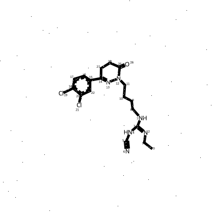 CC/N=C(\NC#N)NCCCCN1N=C(c2ccc(Cl)c(Cl)c2)CCC1=O